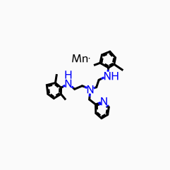 Cc1cccc(C)c1NCCN(CCNc1c(C)cccc1C)Cc1ccccn1.[Mn]